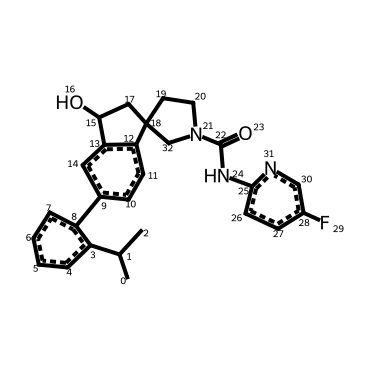 CC(C)c1ccccc1-c1ccc2c(c1)C(O)CC21CCN(C(=O)Nc2ccc(F)cn2)C1